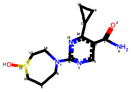 NC(=O)c1cnc(N2CCC[S+]([O-])CC2)nc1C1CC1